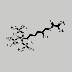 C=C(C)C(=O)OCC(O)CCCC[Si](O[Si](C)(C)C)(O[Si](C)(C)C)O[Si](C)(C)C